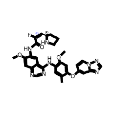 COc1cc2ncnc(Nc3cc(C)c(Oc4ccn5ncnc5c4)cc3OC)c2cc1NC(=O)/C(F)=C\[C@H]1CCCN1